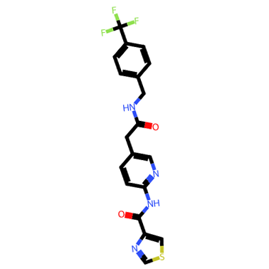 O=C(Cc1ccc(NC(=O)c2cscn2)nc1)NCc1ccc(C(F)(F)F)cc1